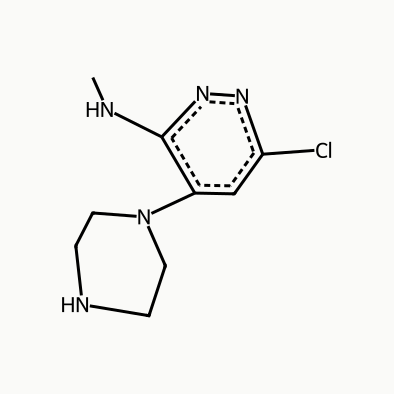 CNc1nnc(Cl)cc1N1CCNCC1